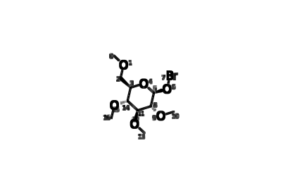 COC[C@H]1O[C@@H](OBr)[C@H](OC)[C@@H](OC)[C@@H]1OC